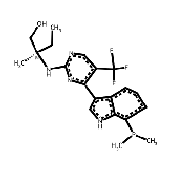 CC[C@](C)(CO)Nc1ncc(C(F)(F)F)c(-c2c[nH]c3c(P(C)C)cccc23)n1